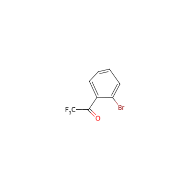 O=C(c1ccccc1Br)C(F)(F)F